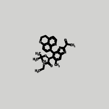 CCOC(=O)[C@@H](OC(C)(C)C)c1c(C)cc2nc(C(C)=O)sc2c1-c1ccc2c3c(ccnc13)CCO2